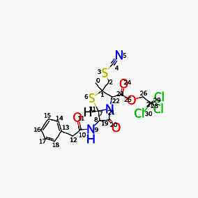 CC1(CSC#N)S[C@H]2C(NC(=O)Cc3ccccc3)C(=O)N2C1C(=O)OCC(Cl)(Cl)Cl